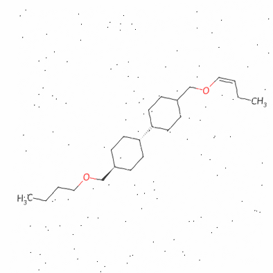 CC/C=C\OCC1CCC([C@H]2CC[C@H](COCCCC)CC2)CC1